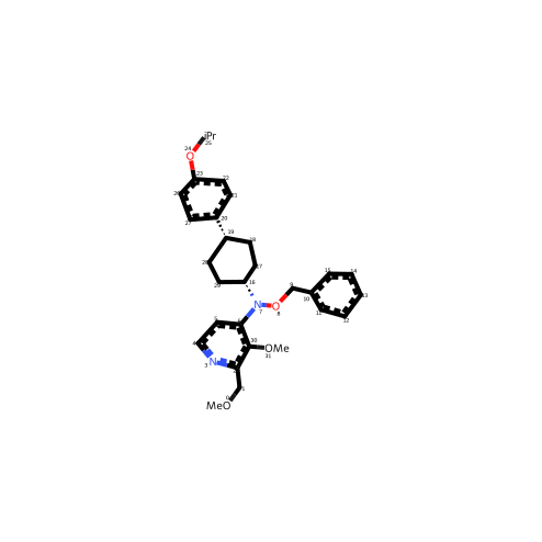 COCc1nccc(N(OCc2ccccc2)[C@H]2CC[C@@H](c3ccc(OC(C)C)cc3)CC2)c1OC